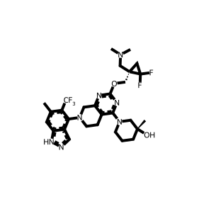 Cc1cc2[nH]ncc2c(N2CCc3c(nc(OC[C@]4(CN(C)C)CC4(F)F)nc3N3CCC[C@@](C)(O)C3)C2)c1C(F)(F)F